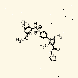 COc1cc(NS(=O)(=O)c2ccc(-n3c(C)cc(C(=O)CN4CCCC4)c3C)cc2)nc(OC)n1